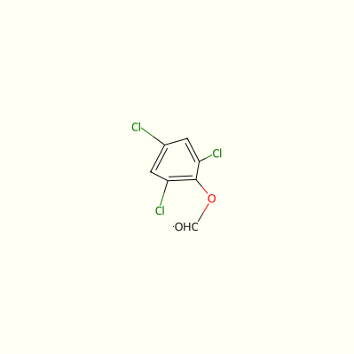 O=[C]Oc1c(Cl)cc(Cl)cc1Cl